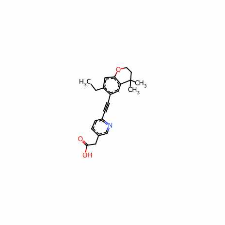 CCc1cc2c(cc1C#Cc1ccc(CC(=O)O)cn1)C(C)(C)CCO2